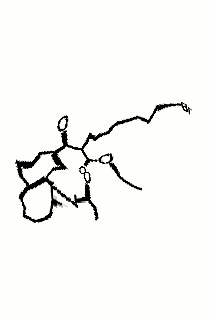 CCOC(=O)C(CCCCCBr)C(=O)c1ccc2c(c1)N(C(C)=O)CCCC2